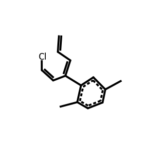 C=C/C=C(\C=C/Cl)c1cc(C)ccc1C